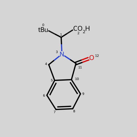 CC(C)(C)C(C(=O)O)N1Cc2ccccc2C1=O